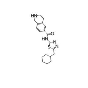 O=C(Nc1nnc(CC2CCCCC2)s1)c1ccc2c(c1)CCNC2